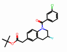 CC(C)(C)OC(=O)Cc1ccc2c(c1)CC(F)CN2C(=O)c1cccc(Cl)c1